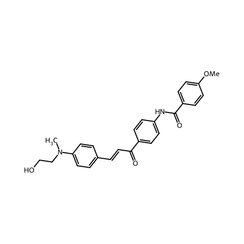 COc1ccc(C(=O)Nc2ccc(C(=O)/C=C/c3ccc(N(C)CCO)cc3)cc2)cc1